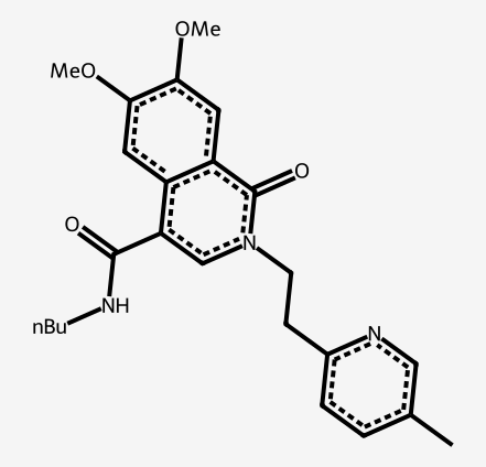 CCCCNC(=O)c1cn(CCc2ccc(C)cn2)c(=O)c2cc(OC)c(OC)cc12